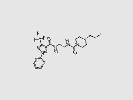 CCCC1CCN(C(=O)NCCNC(=O)c2cn(-c3ccccc3)nc2C(F)(F)F)CC1